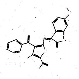 COc1ccc2c(c1)NC(=O)C2=Cc1[nH]c(C(=O)O)c(C)c1C(=O)c1ccccc1